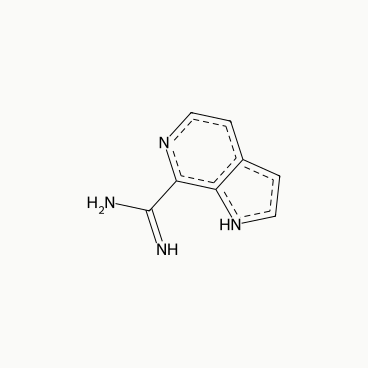 N=C(N)c1nccc2cc[nH]c12